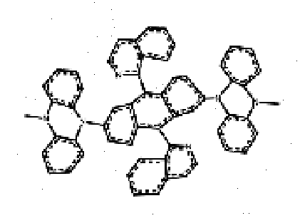 CN1c2ccccc2N(c2ccc3c(-c4nccc5ccccc45)c4cc(N5c6ccccc6N(C)c6ccccc65)ccc4c(-c4nccc5ccccc45)c3c2)c2ccccc21